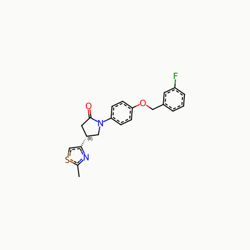 Cc1nc([C@@H]2CC(=O)N(c3ccc(OCc4cccc(F)c4)cc3)C2)cs1